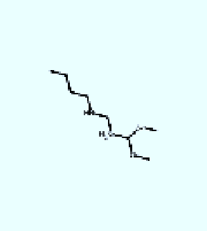 CCCCNC[SiH2]C(OC)OC